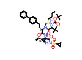 C=C[C@@H]1C[C@]1(NC(=O)[C@H](CCc1ccc(-c2ccccc2)cc1)N(CSCCCC)C(=O)[C@@H](NC(=O)OC(C)(C)C)C(C)(C)C)C(=O)NS(=O)(=O)C1CC1